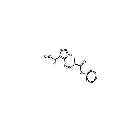 CN(/N=N\c1[nH]cnc1NC=O)C(=O)Oc1ccccc1